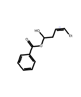 CC/C=C\CC(O)OC(=O)c1ccccc1